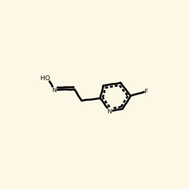 O/N=C/Cc1ccc(F)cn1